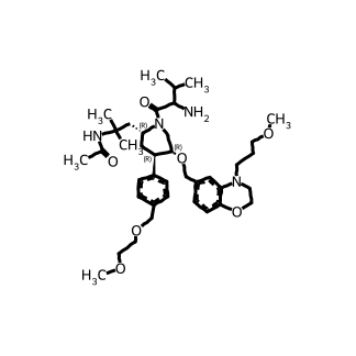 COCCCN1CCOc2ccc(CO[C@H]3CN(C(=O)C(N)C(C)C)[C@@H](CC(C)(C)NC(C)=O)C[C@@H]3c3ccc(COCCOC)cc3)cc21